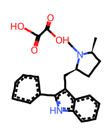 C[C@H]1CC[C@@H](Cc2c(-c3ccccc3)[nH]c3ccccc23)N1C.O=C(O)C(=O)O